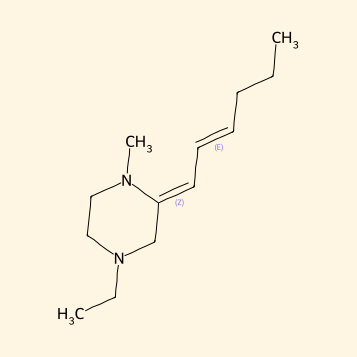 CCC/C=C/C=C1/CN(CC)CCN1C